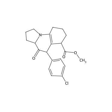 COC(=O)C1CCCC2=C1C(c1ccc(Cl)cc1)C(=O)C1CCCN21